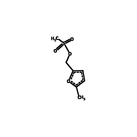 Cc1ccc(COS(C)(=O)=O)o1